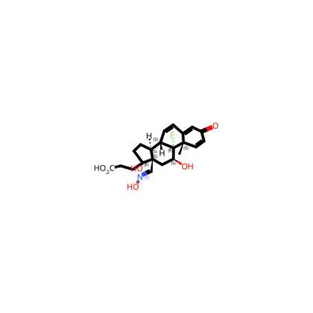 C[C@]12C=CC(=O)C=C1C=C[C@H]1[C@@H]3CC[C@@](O)(CCC(=O)O)[C@@]3(/C=N/O)C[C@H](O)[C@@]12F